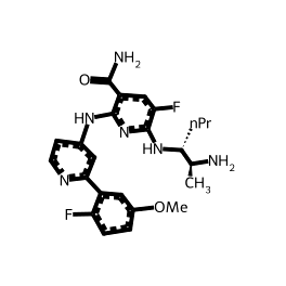 CCC[C@@H](Nc1nc(Nc2ccnc(-c3cc(OC)ccc3F)c2)c(C(N)=O)cc1F)[C@H](C)N